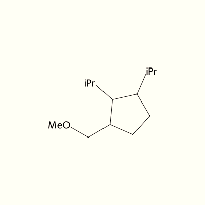 COCC1CCC(C(C)C)C1C(C)C